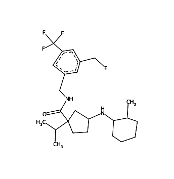 CC1CCCCC1NC1CCC(C(=O)NCc2cc(CF)cc(C(F)(F)F)c2)(C(C)C)C1